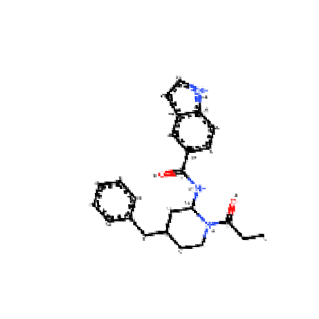 CCC(=O)N1CCC(Cc2ccccc2)CC1NC(=O)c1ccc2[nH]ccc2c1